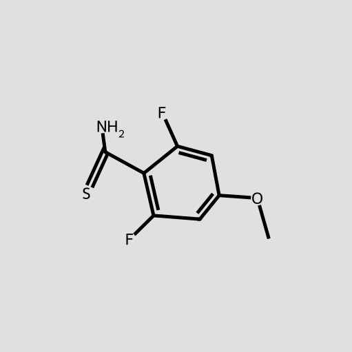 COc1cc(F)c(C(N)=S)c(F)c1